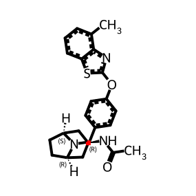 CC(=O)N[C@H]1C[C@H]2CC[C@@H](C1)N2Cc1ccc(Oc2nc3c(C)cccc3s2)cc1